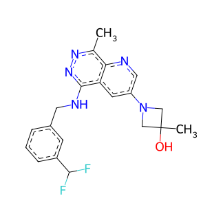 Cc1nnc(NCc2cccc(C(F)F)c2)c2cc(N3CC(C)(O)C3)cnc12